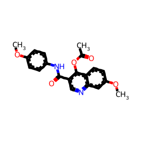 COc1ccc(NC(=O)c2cnc3cc(OC)ccc3c2OC(C)=O)cc1